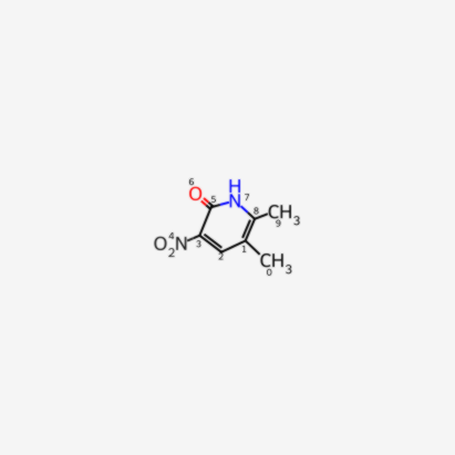 Cc1cc([N+](=O)[O-])c(=O)[nH]c1C